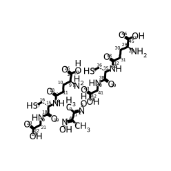 CC(=N\O)/C(C)=N/O.N[C@@H](CCC(=O)N[C@@H](CS)C(=O)NCC(=O)O)C(=O)O.N[C@@H](CCC(=O)N[C@@H](CS)C(=O)NCC(=O)O)C(=O)O